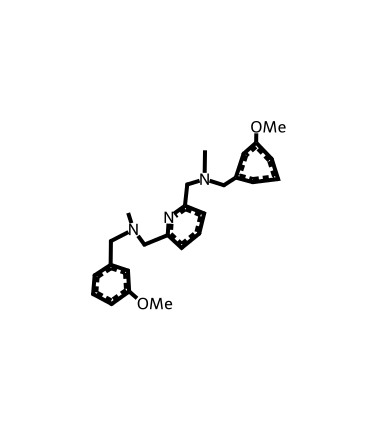 COc1cccc(CN(C)Cc2cccc(CN(C)Cc3cccc(OC)c3)n2)c1